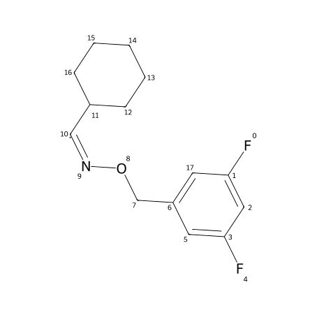 Fc1cc(F)cc(CO/N=[C]\C2CCCCC2)c1